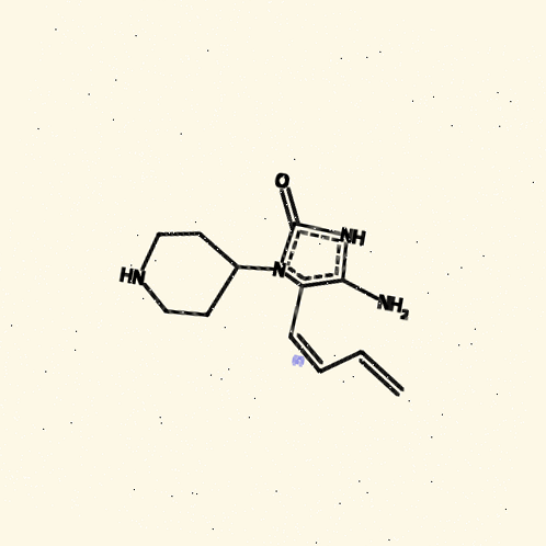 C=C/C=C\c1c(N)[nH]c(=O)n1C1CCNCC1